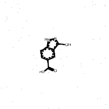 O=C(O)c1ccc2[nH]nc(O)c2c1